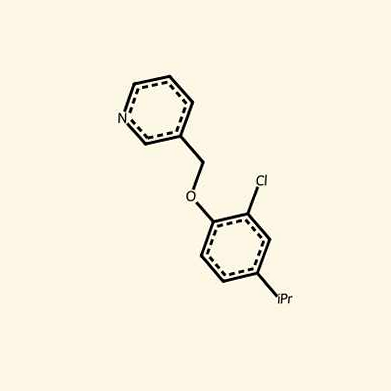 CC(C)c1ccc(OCc2cccnc2)c(Cl)c1